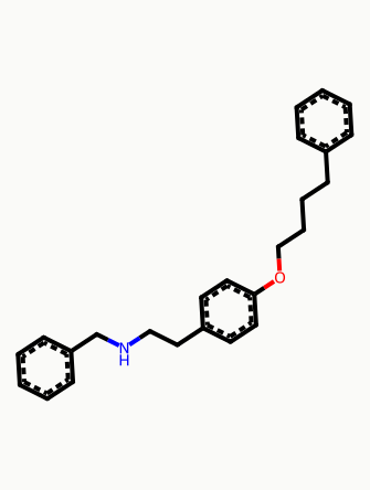 c1ccc(CCCCOc2ccc(CCNCc3ccccc3)cc2)cc1